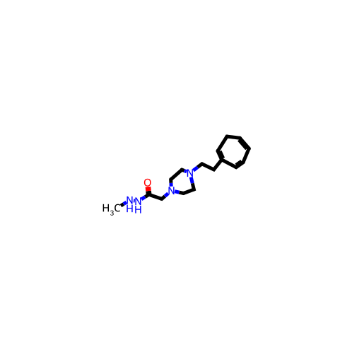 CNNC(=O)CN1CCN(CCC2=CCC=CC=C2)CC1